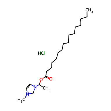 CCCCCCCCCCCCCCCC(=O)OC(C)N1C=CN(C)C1.Cl